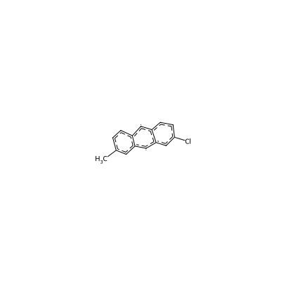 Cc1ccc2[c]c3ccc(Cl)cc3[c]c2c1